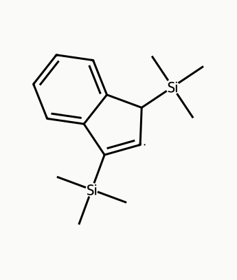 C[Si](C)(C)C1=[C]C([Si](C)(C)C)c2ccccc21